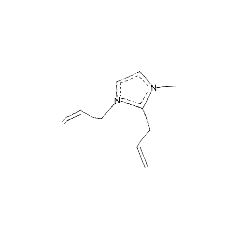 C=CCc1n(C)cc[n+]1CC=C